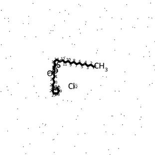 CCCCCCCCCCCCCC1CCC(=COC(=O)CCCC[n+]2ccccc2)S1.[Cl-]